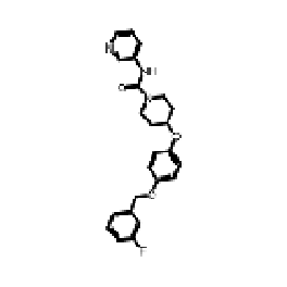 O=C(Nc1cccnc1)N1CCC(Oc2ccc(OCc3cccc(F)c3)cc2)CC1